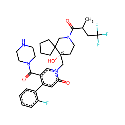 CC(CC(F)(F)F)C(=O)N1CC[C@@](O)(Cn2cc(C(=O)N3CCNCC3)c(-c3ccccc3F)cc2=O)C2(CCCC2)C1